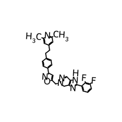 Cc1cc(CCc2ccc(-c3cc(CN4Cc5nc(-c6cccc(F)c6F)[nH]c5C=N4)on3)cc2)cc(C)n1